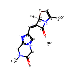 CN1Cc2nc(/C=C3\C(=O)N4C(C(=O)[O-])=CS[C@H]34)cn2CC1=O.[Na+]